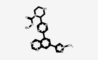 Cn1cc(-c2cc(-c3cnc(C4CNCCN4C(=O)OC(C)(C)C)cn3)c3cncnc3c2)cn1